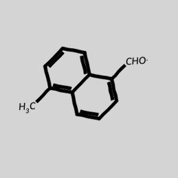 Cc1cccc2c([C]=O)cccc12